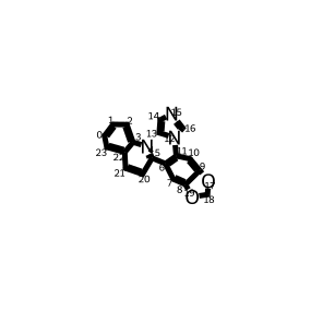 c1ccc2nc(-c3cc4c(cc3-n3ccnc3)OCO4)ccc2c1